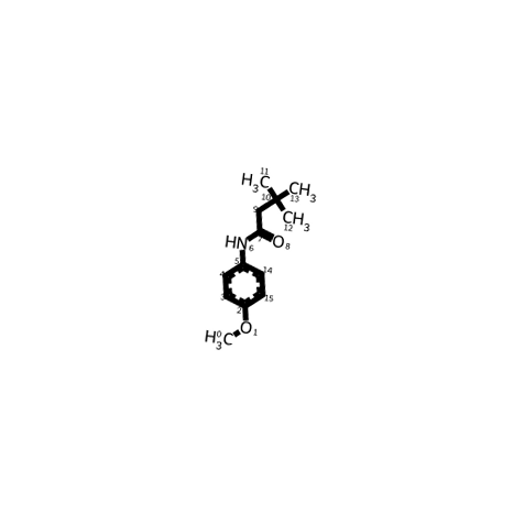 COc1ccc(NC(=O)CC(C)(C)C)cc1